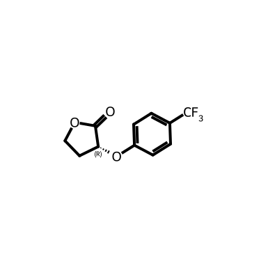 O=C1OCC[C@H]1Oc1ccc(C(F)(F)F)cc1